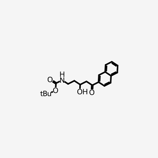 CC(C)(C)OC(=O)NCCC(O)CC(=O)c1ccc2ccccc2c1